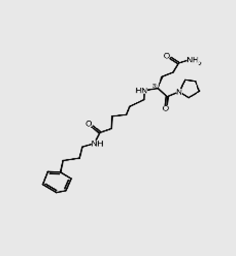 NC(=O)CC[C@H](NCCCCCC(=O)NCCCc1ccccc1)C(=O)N1CCCC1